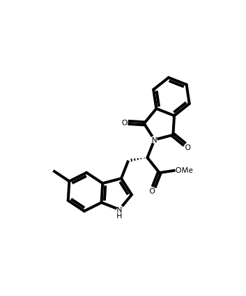 COC(=O)[C@H](Cc1c[nH]c2ccc(C)cc12)N1C(=O)c2ccccc2C1=O